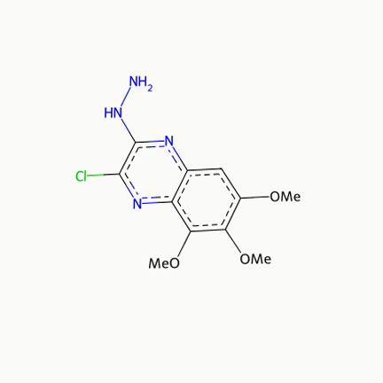 COc1cc2nc(NN)c(Cl)nc2c(OC)c1OC